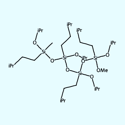 CO[Si](CCC(C)C)(OC(C)C)O[Si](CCC(C)C)(OC(C)C)O[Si](CCC(C)C)(OC(C)C)O[Si](C)(CCC(C)C)OC(C)C